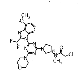 COc1cccc2c1nc(C(F)F)n2-c1nc(N2CCOCC2)nc(N2CC[C@@H](N(C)C(=O)CCl)C2)n1